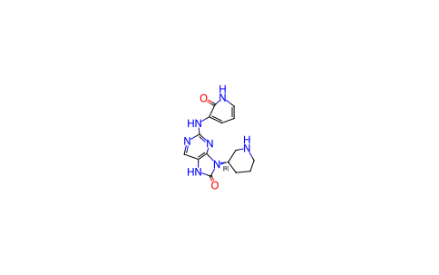 O=c1[nH]cccc1Nc1ncc2[nH]c(=O)n([C@@H]3CCCNC3)c2n1